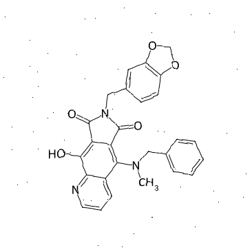 CN(Cc1ccccc1)c1c2c(c(O)c3ncccc13)C(=O)N(Cc1ccc3c(c1)OCO3)C2=O